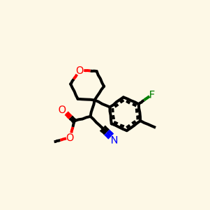 COC(=O)C(C#N)C1(c2ccc(C)c(F)c2)CCOCC1